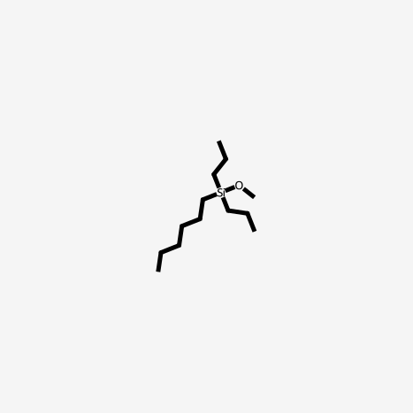 CCCCCC[Si](CCC)(CCC)OC